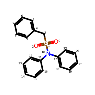 O=S(=O)(Cc1ccccc1)N(c1ccccc1)c1ccccc1